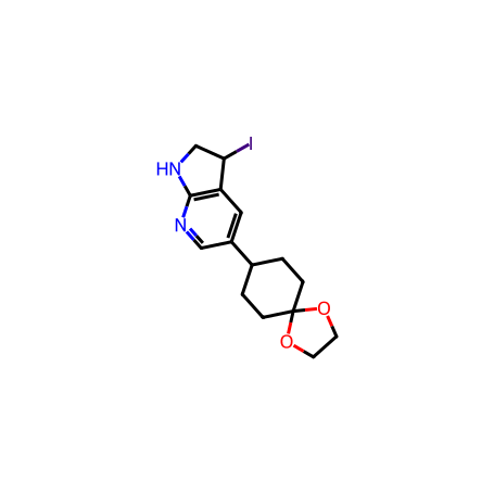 IC1CNc2ncc(C3CCC4(CC3)OCCO4)cc21